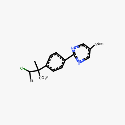 CCCCCCCCCc1cnc(-c2ccc(C(C)(C(=O)O)C(Cl)CC)cc2)nc1